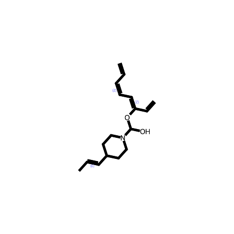 C=C/C=C\C=C(\C=C)OC(O)N1CCC(/C=C/C)CC1